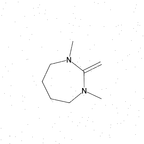 C=C1N(C)CCCCN1C